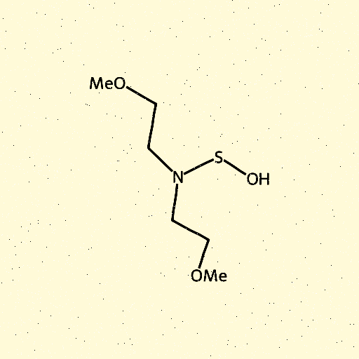 COCCN(CCOC)SO